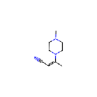 C/C(=C/C#N)N1CCN(C)CC1